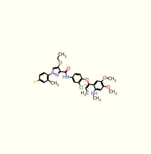 C/C=C(/Oc1ccc(NC(=O)c2nn(-c3ccc(F)cc3C)cc2OCC)cc1Cl)c1cc(OC)c(OC)cc1NC